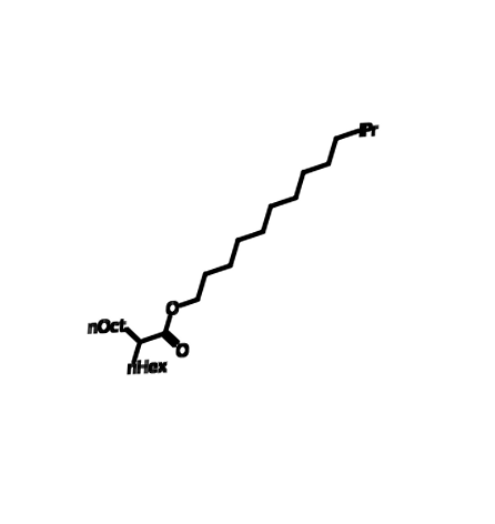 CCCCCCCCC(CCCCCC)C(=O)OCCCCCCCCCCC(C)C